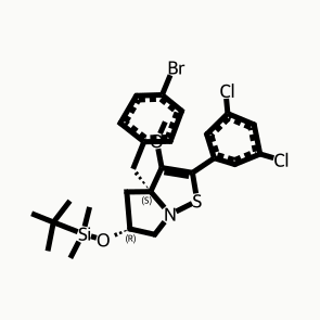 COC1=C(c2cc(Cl)cc(Cl)c2)SN2C[C@H](O[Si](C)(C)C(C)(C)C)C[C@@]12Cc1ccc(Br)cc1